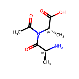 CC(=O)N(C(=O)[C@H](C)N)[C@@H](C)C(=O)O